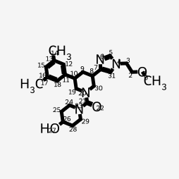 COCCn1cnc(C2CC(c3cc(C)cc(C)c3)CN(C(=O)N3CCC(O)CC3)C2)c1